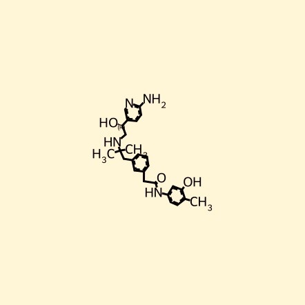 Cc1ccc(NC(=O)Cc2cccc(CC(C)(C)NC[C@H](O)c3ccc(N)nc3)c2)cc1O